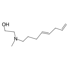 C=CCC=CCCCN(C)CCO